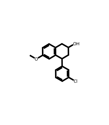 COc1ccc2c(c1)C(c1cccc(Cl)c1)CC(O)C2